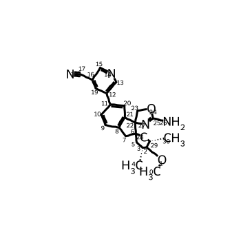 COC1[C@H](C)CC2(Cc3ccc(-c4cncc(C#N)c4)cc3C23COC(N)=N3)C[C@@H]1C